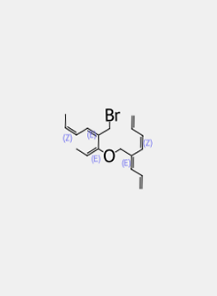 C=C/C=C\C(=C/C=C)COC(=C/C)/C(=C\C=C/C)CBr